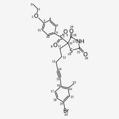 CCOc1ccc(S(=O)(=O)C2(CCCC#Cc3ccc(Br)cc3C)SC(=O)NC2=O)cc1